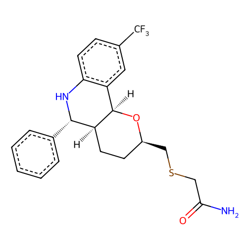 NC(=O)CSC[C@H]1CC[C@@H]2[C@H](O1)c1cc(C(F)(F)F)ccc1N[C@H]2c1ccccc1